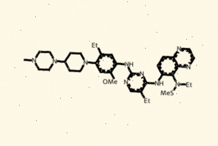 CCc1cc(Nc2ncc(CC)c(Nc3ccc4nccnc4c3N(CC)SC)n2)c(OC)cc1N1CCC(N2CCN(C)CC2)CC1